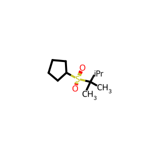 CC(C)C(C)(C)S(=O)(=O)C1CCCC1